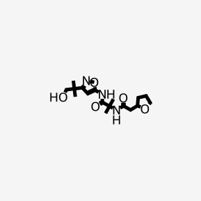 CC(C)(NC(=O)CC1CCCO1)C(=O)Nc1cc(C(C)(C)CO)no1